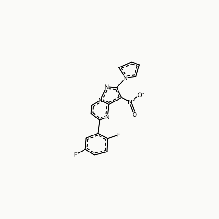 O=[N+]([O-])c1c(-n2cccc2)nn2ccc(-c3cc(F)ccc3F)nc12